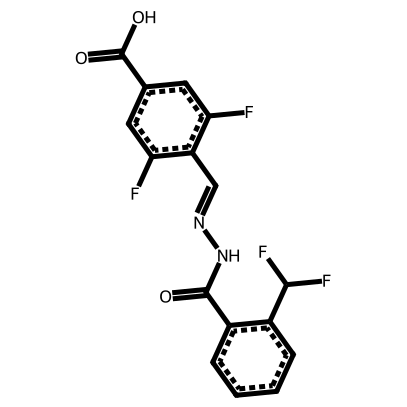 O=C(O)c1cc(F)c(/C=N/NC(=O)c2ccccc2C(F)F)c(F)c1